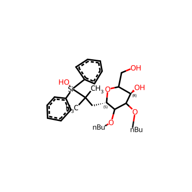 CCCCOC1C(OCCCC)[C@H](CC(C)(C)[Si](O)(c2ccccc2)c2ccccc2)OC(CO)[C@H]1O